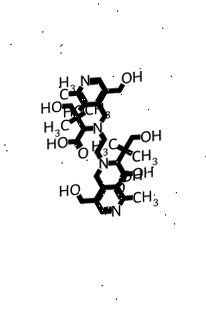 Cc1ncc(CO)c(CN(CCN(Cc2c(CO)cnc(C)c2O)C(C(=O)O)C(C)(C)CO)C(C(=O)O)C(C)(C)CO)c1O